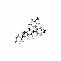 O=c1c2cn(-c3ccccc3)nc2nc(-c2ccc(Br)cc2)n1-c1ccc(F)cc1